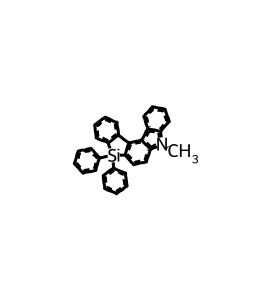 Cn1c2ccccc2c2c3c(ccc21)[Si](c1ccccc1)(c1ccccc1)c1ccccc1-3